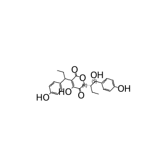 CCC(C1=C(O)C(=O)[C@@H](C(CC)[C@H](O)c2ccc(O)cc2)OC1=O)c1ccc(O)cc1